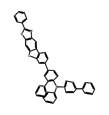 c1ccc(-c2ccc(N(c3ccccc3)c3ccc(-c4ccc5c(c4)oc4cc6oc(-c7ccccc7)nc6cc45)cc3-c3ccccc3)cc2)cc1